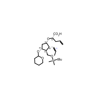 C=CC[C@H](O[C@H]1C[C@@H](OC2CCCCO2)[C@H](CO[Si](C)(C)C(C)(C)C)[C@H]1/C=C\C)C(=O)O